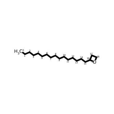 CCCCCCCCCCCCCCCCC1CCO1